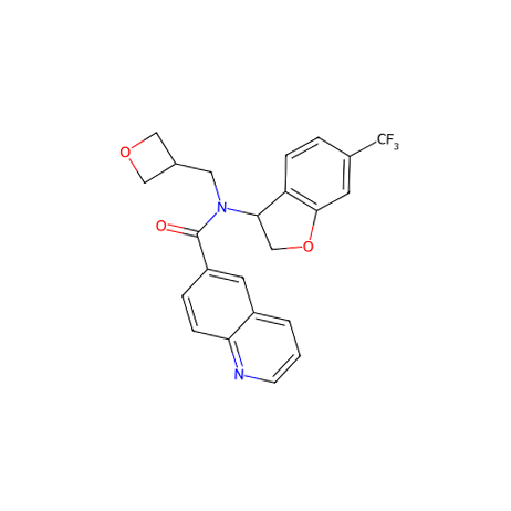 O=C(c1ccc2ncccc2c1)N(CC1COC1)C1COc2cc(C(F)(F)F)ccc21